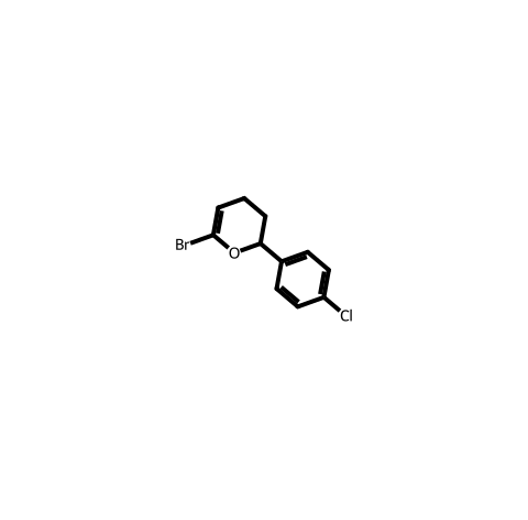 Clc1ccc(C2CCC=C(Br)O2)cc1